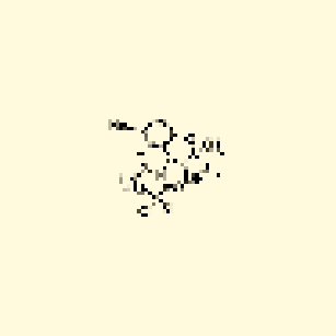 CC1(C)Oc2ccc(C#N)cc2C(N(C(N)=O)C(=O)C(Cl)(Cl)Cl)C1O